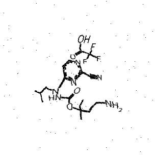 CC(C)CN(NC(=O)OC(C)(C)CCN)c1ccnc(C#N)n1.O=C(O)C(F)(F)F